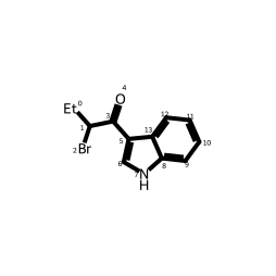 CCC(Br)C(=O)c1c[nH]c2ccccc12